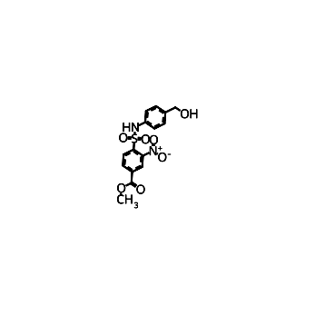 COC(=O)c1ccc(S(=O)(=O)Nc2ccc(CO)cc2)c([N+](=O)[O-])c1